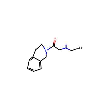 CC(C)CNCC(=O)N1CCc2ccccc2C1